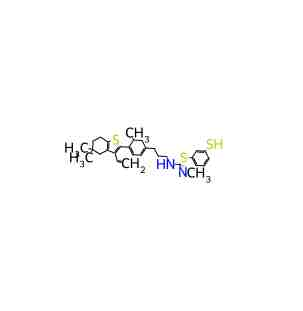 C=Cc1c(C2=CC=C(CCCN/C(=N/C)Sc3cccc(S)c3)CC2C)sc2c1CC(C)(C)CC2